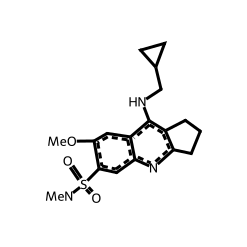 CNS(=O)(=O)c1cc2nc3c(c(NCC4CC4)c2cc1OC)CCC3